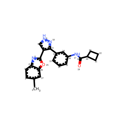 Cc1ccc2nc(-c3c[nH]nc3-c3cccc(NC(=O)C4CCC4)c3)oc2c1